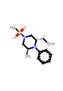 C[C@H]1CN(S(C)(=O)=O)C[C@H](CC(=O)O)N1c1ccccc1